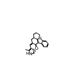 Cc1[nH]cnc1/C=C1/CC2CCCn3c2c(c2ccccc23)C1=O